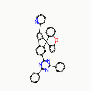 c1ccc(-c2nc(-c3ccccc3)nc(-c3ccc4c(c3)C3(c5ccccc5Oc5ccccc53)c3cc(-c5ccccn5)ccc3-4)n2)cc1